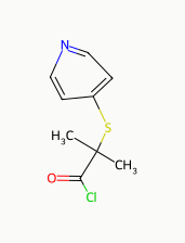 CC(C)(Sc1ccncc1)C(=O)Cl